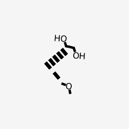 C=C.C=C.C=C.C=C.C=C.C=C.COC.OCCO